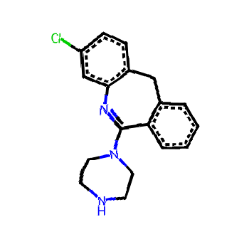 Clc1ccc2c(c1)N=C(N1CCNCC1)c1ccccc1C2